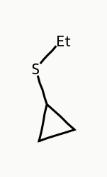 CCSC1CC1